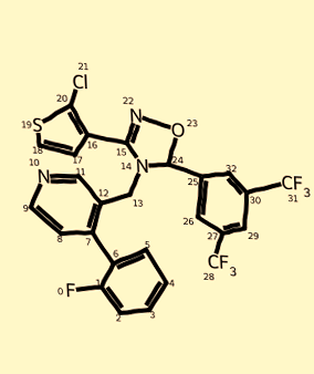 Fc1ccccc1-c1ccncc1CN1C(c2ccsc2Cl)=NOC1c1cc(C(F)(F)F)cc(C(F)(F)F)c1